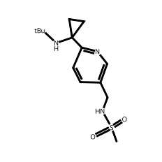 CC(C)(C)NC1(c2ccc(CNS(C)(=O)=O)cn2)CC1